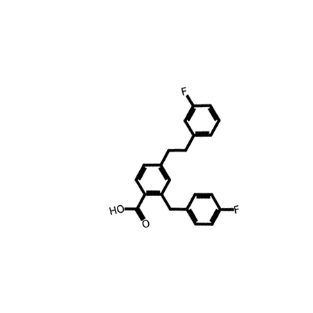 O=C(O)c1ccc(CCc2cccc(F)c2)cc1Cc1ccc(F)cc1